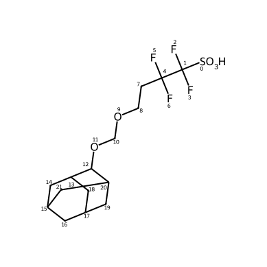 O=S(=O)(O)C(F)(F)C(F)(F)CCOCOC1C2CC3CC(C2)CC1C3